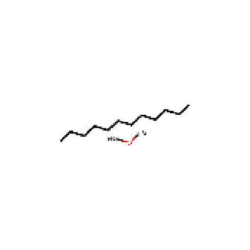 CCCCCCCCCCCC.CCCCOCCCC